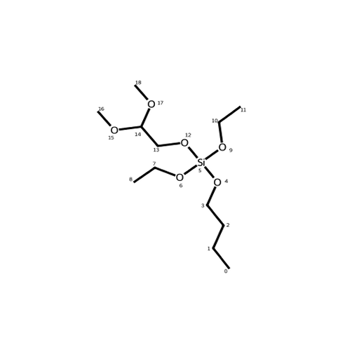 CCCCO[Si](OCC)(OCC)OCC(OC)OC